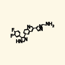 NCCn1cc(-c2cnc3ccc(-c4nc[nH]c4-c4ccc(F)c(F)c4)cc3c2)cn1